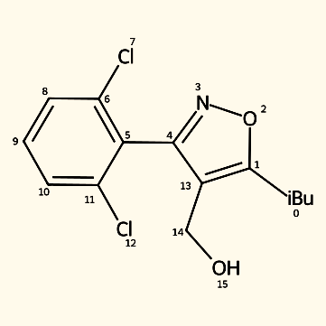 CCC(C)c1onc(-c2c(Cl)cccc2Cl)c1CO